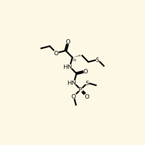 CCOC(=O)[C@H](CCSC)NC(=O)NP(=O)(OC)SC